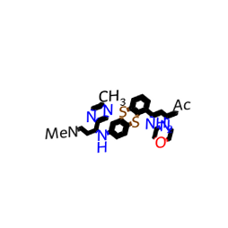 CNCCC(Nc1ccc2c(c1)Sc1cccc(/C(N)=C/C(=C\C(C)=O)N3CCOCC3)c1S2)c1cnc(C)cn1